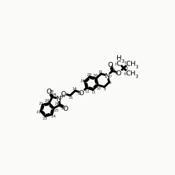 CC(C)(C)OC(=O)N1CCc2cc(OCCON3C(=O)c4ccccc4C3=O)ccc2C1